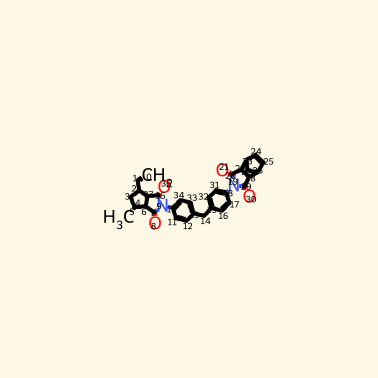 C=CC1CC(C)C2C(=O)N(c3ccc(Cc4ccc(N5C(=O)C6C7C=CC(C7)C6C5=O)cc4)cc3)C(=O)C12